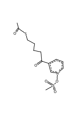 CC(=O)SCCCCC(=O)c1ccc[n+](OS(C)(=O)=O)c1